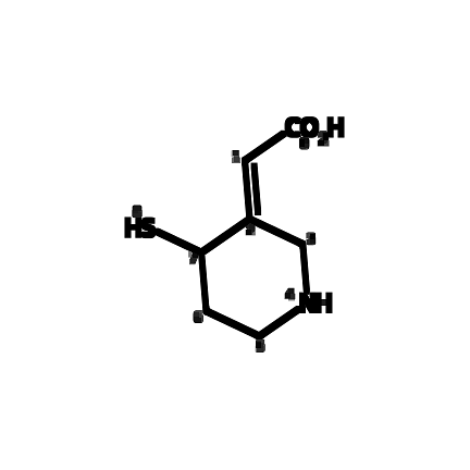 O=C(O)C=C1CNCCC1S